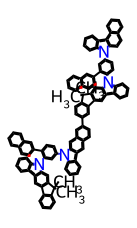 CC1(C)c2ccc(-c3ccc4cc5c6ccccc6n(-c6ccc(-c7ccc8ccccc8c7)c(-n7c8ccccc8c8cc9c(cc87)C(C)(C)c7ccccc7-9)c6)c5cc4c3)cc2-c2cc3c4ccccc4n(-c4ccc(-n5c6ccccc6c6c7ccccc7ccc65)cc4-c4ccc5ccccc5c4)c3cc21